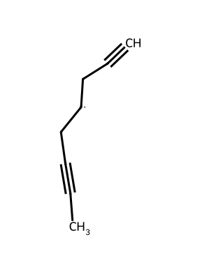 C#CC[CH]CC#CC